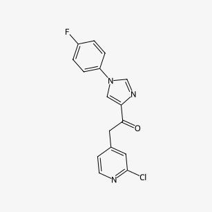 O=C(Cc1ccnc(Cl)c1)c1cn(-c2ccc(F)cc2)cn1